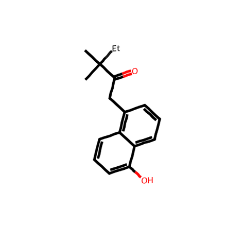 CCC(C)(C)C(=O)Cc1cccc2c(O)cccc12